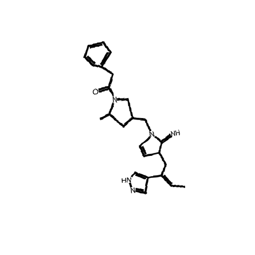 C/C=C(\CC1C=CN(CC2CC(C)N(C(=O)Cc3ccccc3)C2)C1=N)c1cn[nH]c1